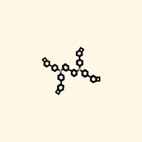 c1cc(-c2cccc(N(c3ccc(-c4ccc5c(c4)CC5)cc3)c3ccc(-c4ccc5c(c4)CC5)cc3)c2)cc(N(c2ccc(-c3ccc4c(c3)CC4)cc2)c2ccc(-c3ccc4c(c3)CC4)cc2)c1